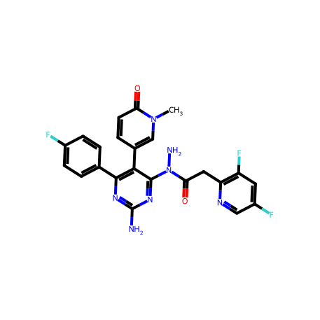 Cn1cc(-c2c(-c3ccc(F)cc3)nc(N)nc2N(N)C(=O)Cc2ncc(F)cc2F)ccc1=O